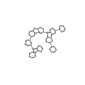 c1ccc(-c2ccc3c(c2)c2cc(-c4ccccc4)ccc2n3-c2ccc3sc4ccc(-c5cncc(-n6c7ccccc7c7ccccc76)c5)cc4c3c2)cc1